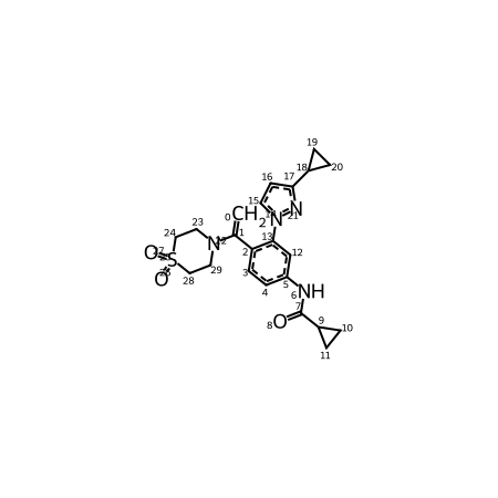 C=C(c1ccc(NC(=O)C2CC2)cc1-n1ccc(C2CC2)n1)N1CCS(=O)(=O)CC1